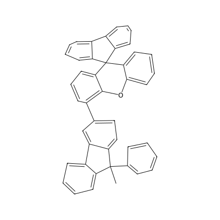 CC1(c2ccccc2)c2ccccc2-c2cc(-c3cccc4c3Oc3ccccc3C43c4ccccc4-c4ccccc43)ccc21